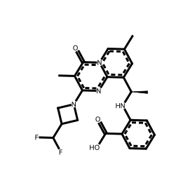 Cc1cc([C@@H](C)Nc2ccccc2C(=O)O)c2nc(N3CC(C(F)F)C3)c(C)c(=O)n2c1